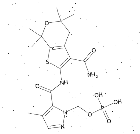 Cc1cnn(COP(=O)(O)O)c1C(=O)Nc1sc2c(c1C(N)=O)CC(C)(C)OC2(C)C